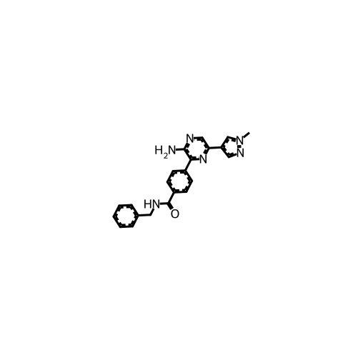 Cn1cc(-c2cnc(N)c(-c3ccc(C(=O)NCc4ccccc4)cc3)n2)cn1